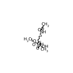 C=CCOC(=O)NCSCCCC1=C(C(=O)OCC=C)N2C(=O)[C@H]([C@@H](C)O)[C@H]2S1